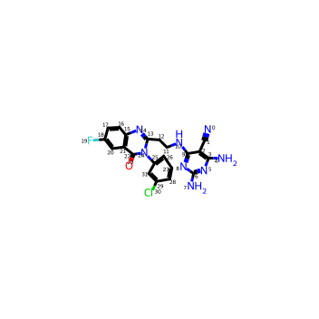 N#Cc1c(N)nc(N)nc1NCCc1nc2ccc(F)cc2c(=O)n1-c1cccc(Cl)c1